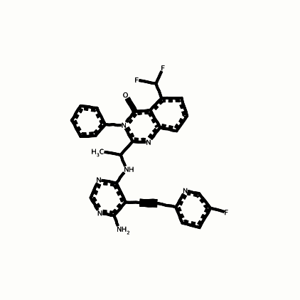 CC(Nc1ncnc(N)c1C#Cc1ccc(F)cn1)c1nc2cccc(C(F)F)c2c(=O)n1-c1ccccc1